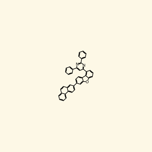 c1ccc(-c2cc(-c3cccc4oc5cc(-c6ccc7c(ccc8ccccc87)c6)ccc5c34)nc(-c3ccccc3)n2)cc1